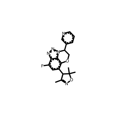 CC1=NOC(C)(C)C1c1cc(F)c2nnn3c2c1OCC3c1cccnc1